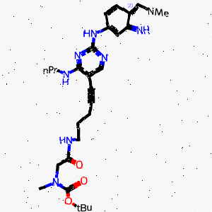 CCCNc1nc(NC2=CC(=N)/C(=C\NC)C=C2)ncc1C#CCCCNC(=O)CN(C)C(=O)OC(C)(C)C